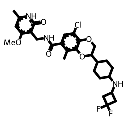 COc1cc(C)[nH]c(=O)c1CNC(=O)c1cc(Cl)c2c(c1C)OC(C1CCC(NC3CC(F)(F)C3)CC1)CO2